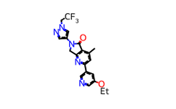 CCOc1cncc(-c2cc(C)c3c(n2)CN(c2cnn(CC(F)(F)F)c2)C3=O)c1